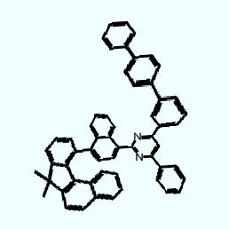 CC1(C)c2cccc(-c3ccc(-c4nc(-c5ccccc5)cc(-c5cccc(-c6ccc(-c7ccccc7)cc6)c5)n4)c4ccccc34)c2-c2c1ccc1ccccc21